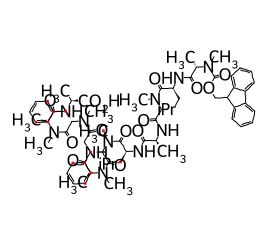 CC(C)C[C@H](NC(=O)[C@H](C)N(C)C(=O)OCC1c2ccccc2-c2ccccc21)C(=O)N(C)CC(=O)N[C@@H](C)C(=O)N[C@@H](CC(C)C)C(=O)N(C)[C@@H](Cc1ccccc1)C(=O)N(C)[C@@H](C)C(=O)NCC(=O)N(C)[C@@H](Cc1ccccc1)C(=O)N(C)[C@@H](C)C(=O)N[C@@H](C)C(=O)O